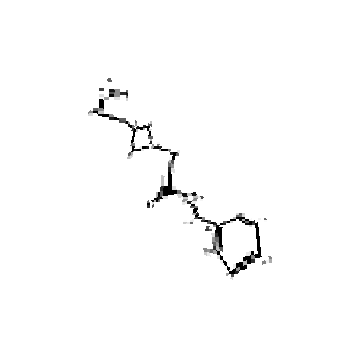 O=C(CN1CC(CO)C1)OCc1ccccc1